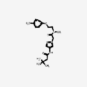 Cc1ccc(OCCN(C)C(=O)Cn2cc(NC(=O)CC(C)(C)N)cn2)cc1